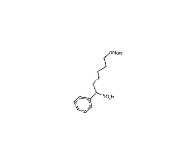 CCCCCCCCCCCCCCC(c1ccccc1)S(=O)(=O)O